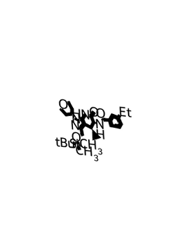 CCc1cccc(C(=O)N[C@@H]2C(=O)Nc3c(c(CO[Si](C)(C)C(C)(C)C)nn3C3CCOCC3)[C@H]2C2CC2)c1